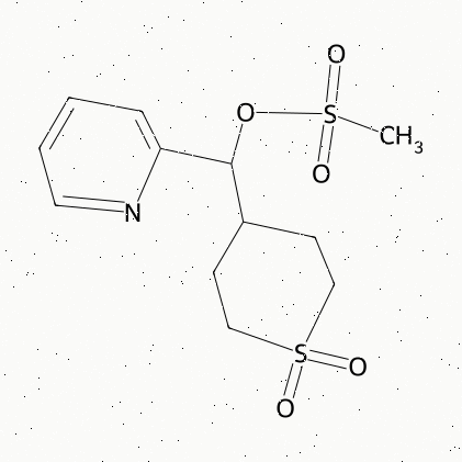 CS(=O)(=O)OC(c1ccccn1)C1CCS(=O)(=O)CC1